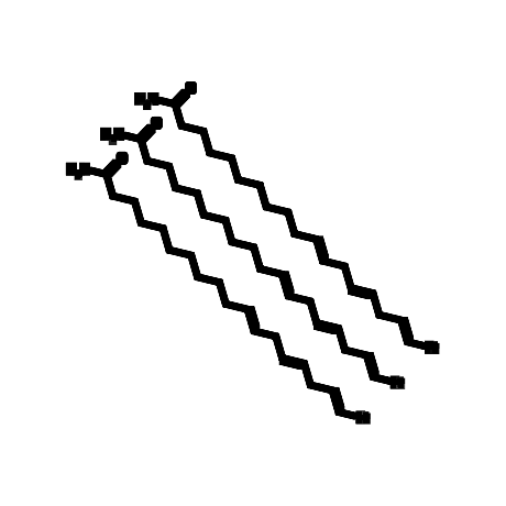 CCC=CCC=CCC=CCCCCCCCCCC(N)=O.CCC=CCC=CCC=CCCCCCCCCCC(N)=O.CCC=CCC=CCC=CCCCCCCCCCC(N)=O